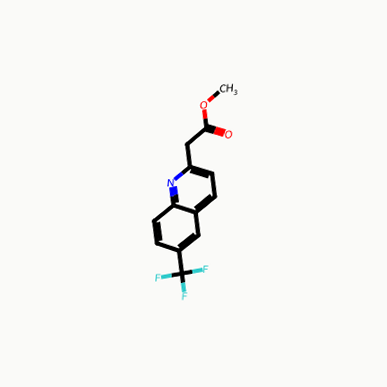 COC(=O)Cc1ccc2cc(C(F)(F)F)ccc2n1